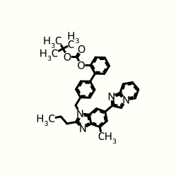 CCCc1nc2c(C)cc(-c3cn4ccccc4n3)cc2n1Cc1ccc(-c2ccccc2OC(=O)OC(C)(C)C)cc1